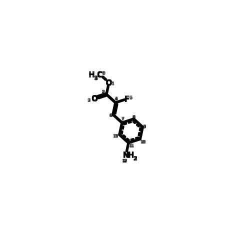 COC(=O)C(F)=Cc1cccc(N)c1